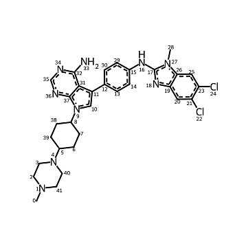 CN1CCN(C2CCC(n3cc(-c4ccc(Nc5nc6cc(Cl)c(Cl)cc6n5C)cc4)c4c(N)ncnc43)CC2)CC1